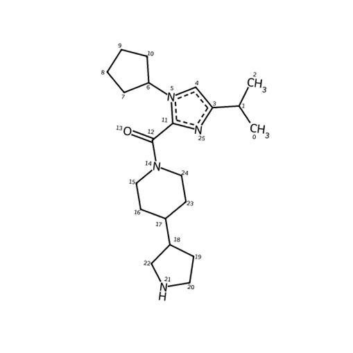 CC(C)c1cn(C2CCCC2)c(C(=O)N2CCC(C3CCNC3)CC2)n1